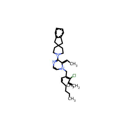 C=C(C)/C(Cl)=C(\C=C/CCCC)CN1C=CN=C(N2CCC3(CC2)Cc2ccccc2C3)/C1=C/C